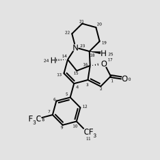 O=C1C=C2C(c3cc(C(F)(F)F)cc(C(F)(F)F)c3)=C[C@@H]3C[C@@]2(O1)[C@H]1CCCCN31